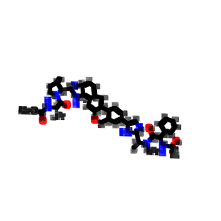 C=C1CCN(C(=O)[C@@H](NC(=O)OC)C(C)C)[C@@H]1c1nc2ccc3cc4c(cc3c2[nH]1)OCc1cc(-c2cnc([C@H](C)N(CCC)C(=O)[C@H](NC(=O)CC)c3ccccc3)[nH]2)ccc1-4